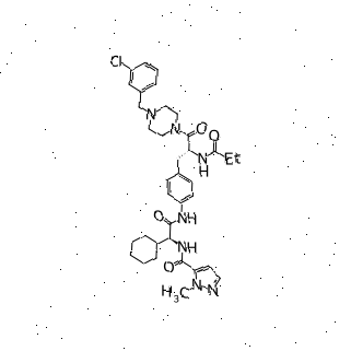 CCC(=O)N[C@H](Cc1ccc(NC(=O)[C@@H](NC(=O)c2ccnn2C)C2CCCCC2)cc1)C(=O)N1CCN(Cc2cccc(Cl)c2)CC1